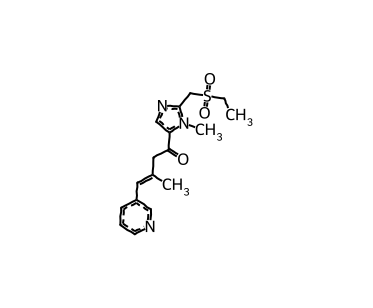 CCS(=O)(=O)Cc1ncc(C(=O)C/C(C)=C/c2cccnc2)n1C